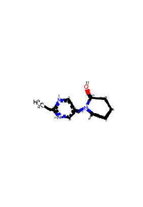 Cc1ncc(N2CCCCC2=O)cn1